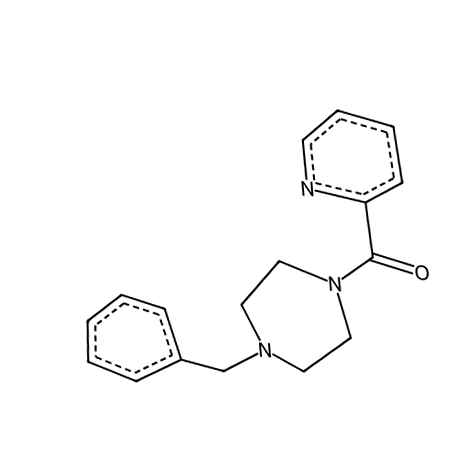 O=C(c1ccccn1)N1CCN(Cc2ccccc2)CC1